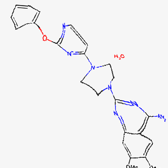 COc1cc2nc(N3CCN(c4ccnc(Oc5ccccc5)n4)CC3)nc(N)c2cc1OC.O